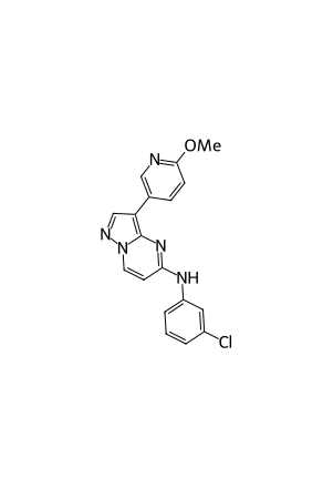 COc1ccc(-c2cnn3ccc(Nc4cccc(Cl)c4)nc23)cn1